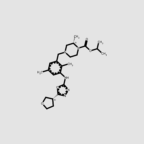 Cc1cc(CN2CCN(C(=O)OC(C)C)[C@@H](C)C2)c(C)c(Nc2nnc([C@@H]3CCOC3)o2)c1